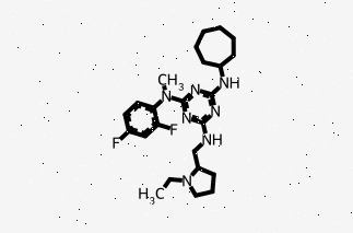 CCN1CCCC1CNc1nc(NC2CCCCCC2)nc(N(C)c2ccc(F)cc2F)n1